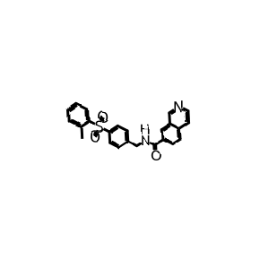 Cc1ccccc1S(=O)(=O)c1ccc(CNC(=O)c2ccc3ccncc3c2)cc1